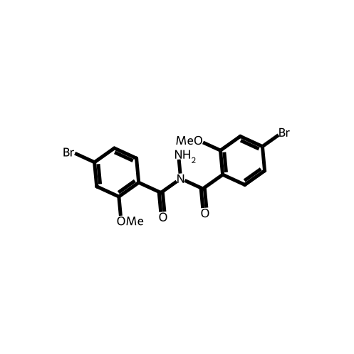 COc1cc(Br)ccc1C(=O)N(N)C(=O)c1ccc(Br)cc1OC